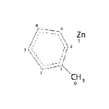 Cc1ccccc1.[Zn]